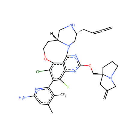 C=C=CC[C@@H]1CN2c3nc(OC[C@@]45CCCN4CC(=C)C5)nc4c(F)c(-c5nc(N)cc(C)c5C(F)(F)F)c(Cl)c(c34)OCC[C@@H]2CN1